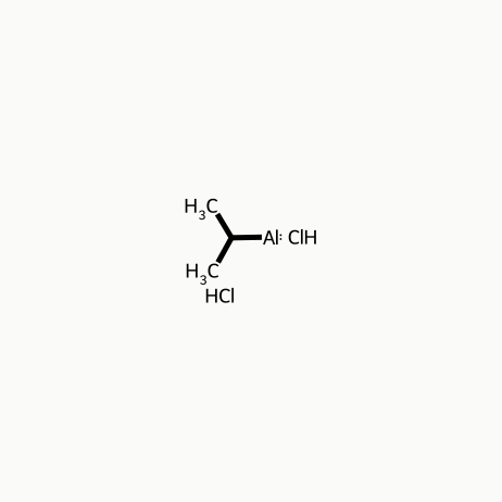 C[CH](C)[Al].Cl.Cl